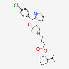 CC(C)[C@H]1CC[C@H](C)C[C@@H]1OC(=O)CCCN1CCC(O[C@H](c2ccc(Cl)cc2)c2ccccn2)CC1